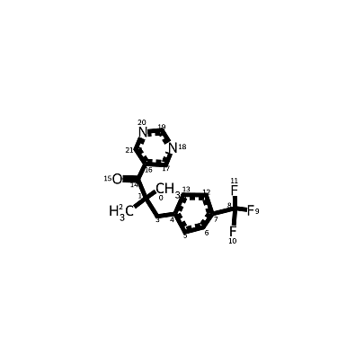 CC(C)(Cc1ccc(C(F)(F)F)cc1)C(=O)c1cncnc1